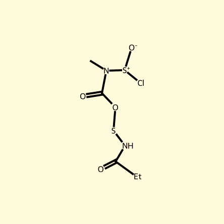 CCC(=O)NSOC(=O)N(C)[S+]([O-])Cl